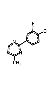 Cc1ccnc(-c2ccc(Cl)c(F)c2)n1